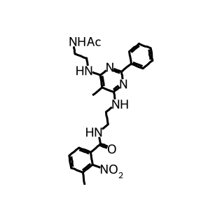 CC(=O)NCCNc1nc(-c2ccccc2)nc(NCCNC(=O)c2cccc(C)c2[N+](=O)[O-])c1C